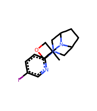 CC1(N2C3CCC2CN(c2ccc(I)cn2)C3)COC1